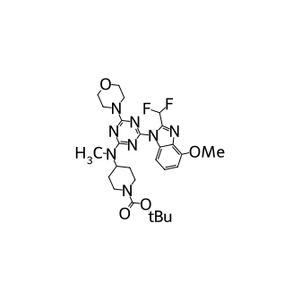 COc1cccc2c1nc(C(F)F)n2-c1nc(N2CCOCC2)nc(N(C)C2CCN(C(=O)OC(C)(C)C)CC2)n1